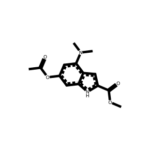 COC(=O)c1cc2c(N(C)C)cc(OC(C)=O)cc2[nH]1